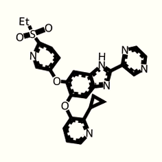 CCS(=O)(=O)c1ccc(Oc2cc3[nH]c(-c4cnccn4)nc3cc2Oc2cccnc2C2CC2)cn1